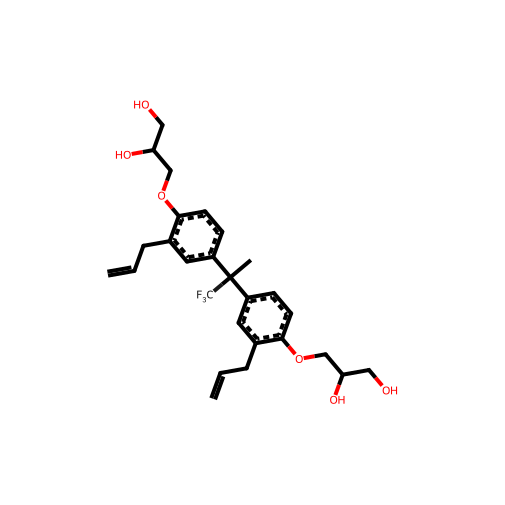 C=CCc1cc(C(C)(c2ccc(OCC(O)CO)c(CC=C)c2)C(F)(F)F)ccc1OCC(O)CO